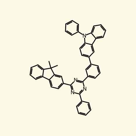 CC1(C)c2ccccc2-c2ccc(-c3nc(-c4ccccc4)nc(-c4cccc(-c5ccc6c(c5)c5ccccc5n6-c5ccccc5)c4)n3)cc21